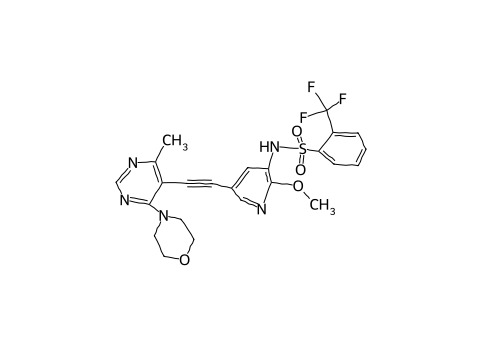 COc1ncc(C#Cc2c(C)ncnc2N2CCOCC2)cc1NS(=O)(=O)c1ccccc1C(F)(F)F